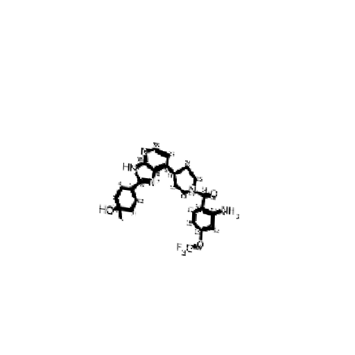 CC1(O)CCC(c2nc3c(C4CCN(C(=O)c5ccc(OC(F)(F)F)cc5N)CC4)ccnc3[nH]2)CC1